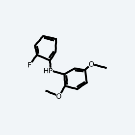 COc1ccc(OC)c(Pc2ccccc2F)c1